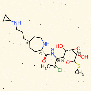 CSC1O[C@H]([C@H](NC(=O)[C@@H]2CC[C@H](CCCNC3CC3)CCN2)[C@H](C)Cl)C(O)C2O[C@]12O